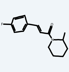 CC1CCCCN1C(=O)C=Cc1ccc(F)cc1